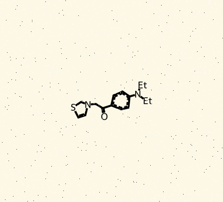 CCN(CC)c1ccc(C(=O)CN2C=CSC2)cc1